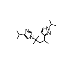 CC(C)c1cn(C(C)(C)CC(C)c2ccn(C(C)C)n2)cn1